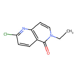 CCn1ccc2nc(Cl)ccc2c1=O